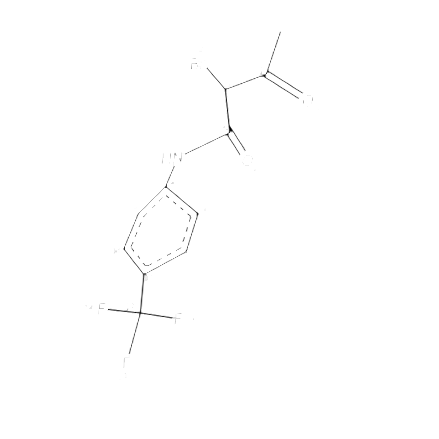 CC(=O)C(Br)C(=O)Nc1ccc(C(F)(F)F)cc1